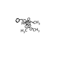 CCCNC(=O)[C@H](CSCc1ccccc1)NC(=O)O[C@@H](C)C(=O)OCC